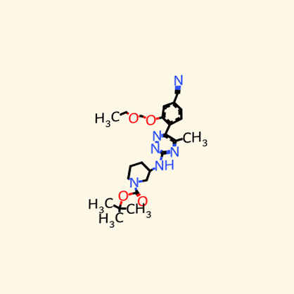 CCOCOc1cc(C#N)ccc1-c1nnc(NC2CCCN(C(=O)OC(C)(C)C)C2)nc1C